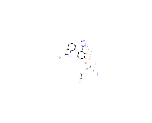 NCc1nc2c(-c3ccc(S(=O)(=O)N[C@H](CN)COC(=O)C(F)(F)F)c(S(N)(=O)=O)c3-c3nn[nH]n3)cccc2s1